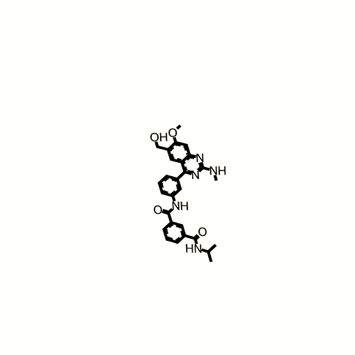 CNc1nc(-c2cccc(NC(=O)c3cccc(C(=O)NC(C)C)c3)c2)c2cc(CO)c(OC)cc2n1